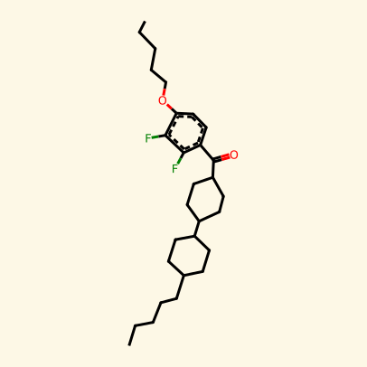 CCCCCOc1ccc(C(=O)C2CCC(C3CCC(CCCCC)CC3)CC2)c(F)c1F